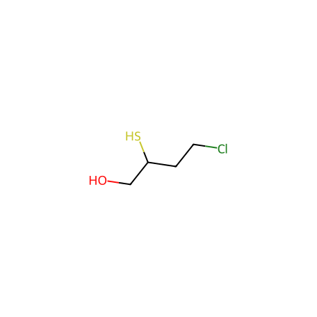 OCC(S)CCCl